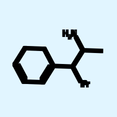 CC(C)C(C1=CC=CCC1)C(C)N